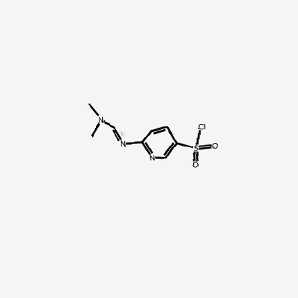 CN(C)/C=N/c1ccc(S(=O)(=O)Cl)cn1